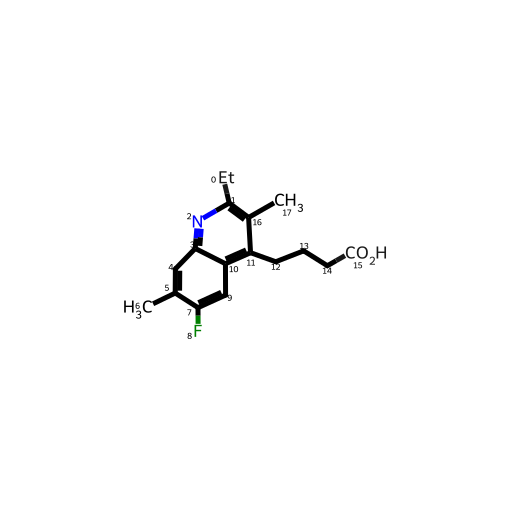 CCc1nc2cc(C)c(F)cc2c(CCCC(=O)O)c1C